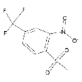 CS(=O)(=O)c1ccc(C(F)(F)F)cc1[N+](=O)[O-]